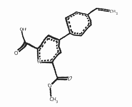 C=Cc1ccc(-c2cc(C(=O)O)nc(C(=O)OC)c2)cc1